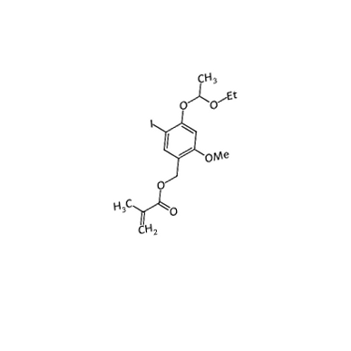 C=C(C)C(=O)OCc1cc(I)c(OC(C)OCC)cc1OC